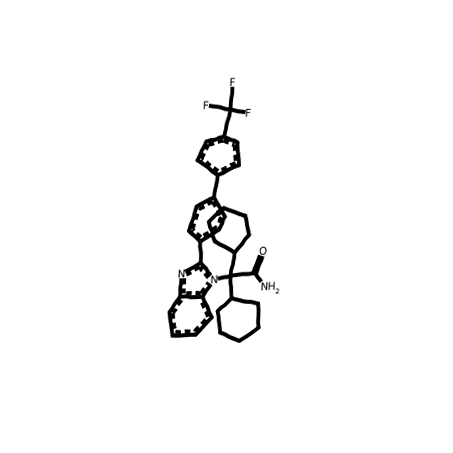 NC(=O)C(C1CCCCC1)(C1CCCCC1)n1c(-c2ccc(-c3ccc(C(F)(F)F)cc3)cc2)nc2ccccc21